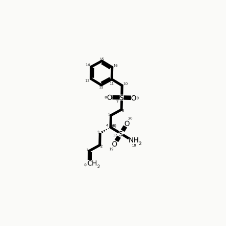 C=CCC[C@H](CCS(=O)(=O)Cc1ccccc1)S(N)(=O)=O